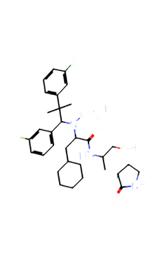 CC(C)(c1cccc(Cl)c1)C(c1cccc(F)c1)N(C(=O)O)C(CC1CCCCC1)C(=O)NC(CO)C[C@@H]1CCNC1=O